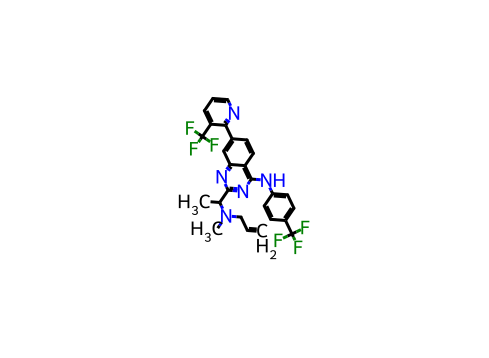 C=CCN(C)C(C)c1nc(Nc2ccc(C(F)(F)F)cc2)c2ccc(-c3ncccc3C(F)(F)F)cc2n1